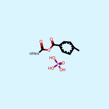 CCCCCCC(=O)OC(=O)c1ccc(C)cc1.O=P(O)(O)O